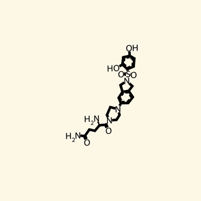 NC(=O)CC[C@@H](N)C(=O)N1CCN(c2ccc3c(c2)CN(S(=O)(=O)c2ccc(O)cc2O)C3)CC1